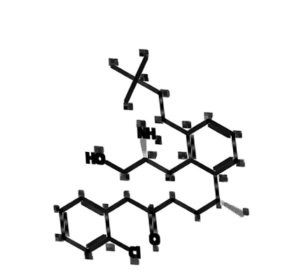 C[C@H](CCC(=O)Cc1ccccc1Cl)c1cccc(CCC(C)(C)C)c1C[C@@H](N)CO